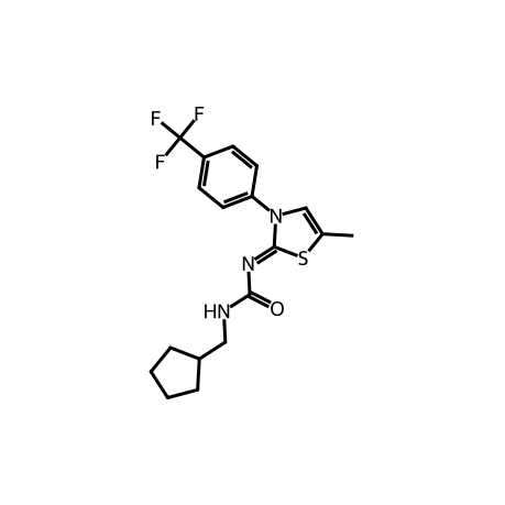 Cc1cn(-c2ccc(C(F)(F)F)cc2)c(=NC(=O)NCC2CCCC2)s1